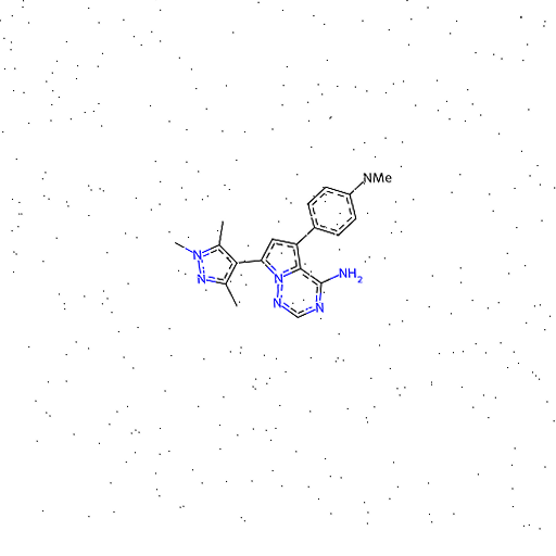 CNc1ccc(-c2cc(-c3c(C)nn(C)c3C)n3ncnc(N)c23)cc1